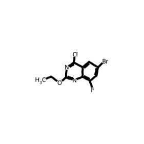 CCOc1nc(Cl)c2cc(Br)cc(F)c2n1